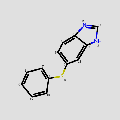 c1ccc(Sc2ccc3nc[nH]c3c2)cc1